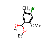 CCOC(OCC)c1cc(C)c(Br)cc1OC